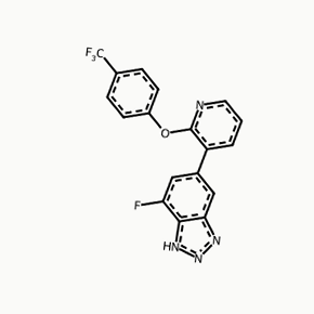 Fc1cc(-c2cccnc2Oc2ccc(C(F)(F)F)cc2)cc2nn[nH]c12